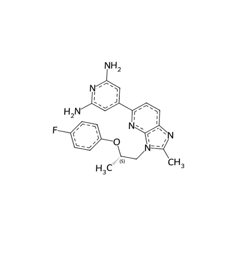 Cc1nc2ccc(-c3cc(N)nc(N)c3)nc2n1C[C@H](C)Oc1ccc(F)cc1